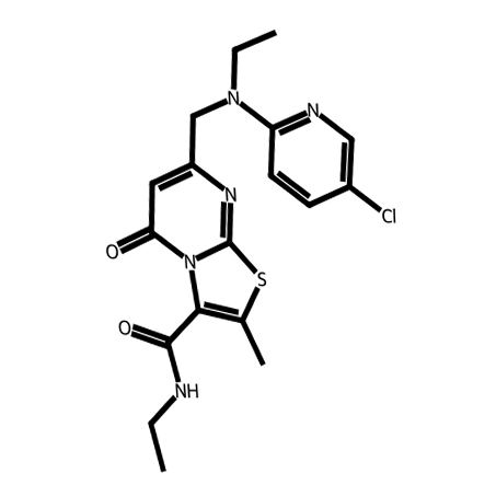 CCNC(=O)c1c(C)sc2nc(CN(CC)c3ccc(Cl)cn3)cc(=O)n12